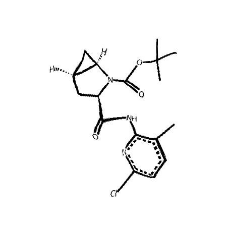 Cc1ccc(Cl)nc1NC(=O)[C@H]1C[C@H]2C[C@H]2N1C(=O)OC(C)(C)C